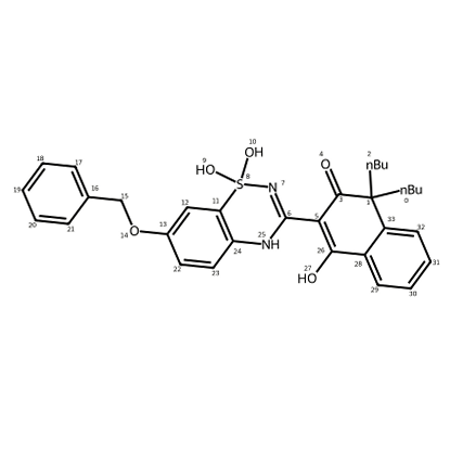 CCCCC1(CCCC)C(=O)C(C2=NS(O)(O)c3cc(OCc4ccccc4)ccc3N2)=C(O)c2ccccc21